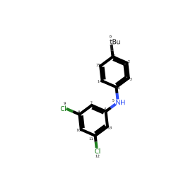 CC(C)(C)C1=C=C=C(Nc2cc(Cl)cc(Cl)c2)C=C1